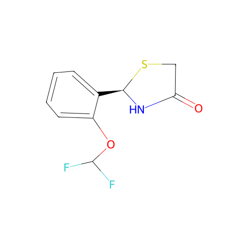 O=C1CS[C@H](c2ccccc2OC(F)F)N1